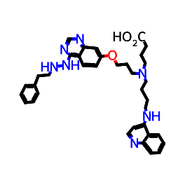 O=C(O)CCCN(CCCCNc1ccnc2ccccc12)CCCOc1ccc2c(NNCCc3ccccc3)ncnc2c1